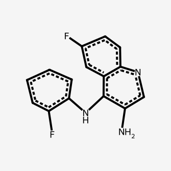 Nc1cnc2ccc(F)cc2c1Nc1ccccc1F